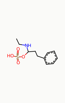 CCNC(CCc1ccccc1)OS(=O)(=O)O